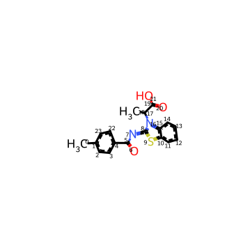 Cc1ccc(C(=O)N=c2sc3ccccc3n2C(C)C(=O)O)cc1